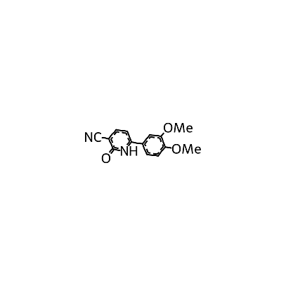 COc1ccc(-c2ccc(C#N)c(=O)[nH]2)cc1OC